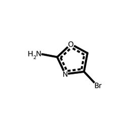 Nc1nc(Br)co1